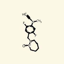 C#CN(C)c1cc(F)c(CN2CCCCC[S+]2[O-])cc1F